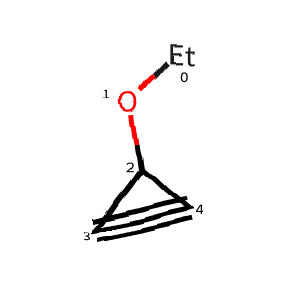 CCOC1C#C1